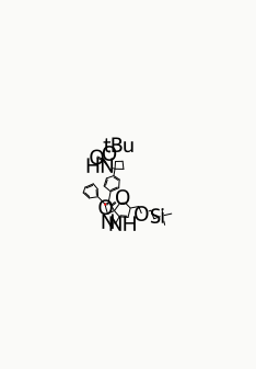 CC(C)(C)OC(=O)NC1(c2ccc(C3=C(c4ccccc4)OC4=NNC5=CC(COCC[Si](C)(C)C)C=CC54C3=O)cc2)CCC1